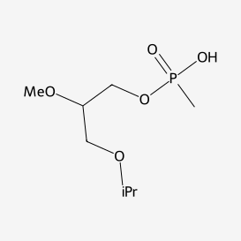 COC(COC(C)C)COP(C)(=O)O